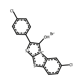 Oc1c(-c2ccc(Cl)cc2)sc2sc3ccc(Cl)cc3[n+]12.[Br-]